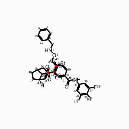 CCC(CONCc1ccccc1)C(C)C1=C[C@@H]2CCC(C1)C2S(=O)(=O)c1cc(C(=O)Nc2cc(F)c(F)c(F)c2)ccc1Cl